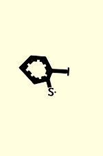 [S]c1ccccc1I